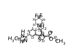 C=C(c1ccc(-c2nnc(C)[nH]2)cc1-c1nc(C(=O)OCC)cs1)N1CCC(F)(F)CC1